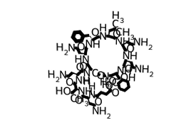 CC(C)C[C@@H]1NC(=O)[C@@H](Cc2ccccc2)NC(=O)[C@H](CCN)NC(=O)[C@@H](NC(=O)[C@H](CCN)NC(=O)[C@@H](NC(=O)[C@H](CCN)NC(=O)CCC(=O)OC2CCCCC2)C(C)O)CCNC(=O)[C@H]([C@H](C)O)NC(=O)[C@H](CCN)NC(=O)[C@H](CCN)NC1=O